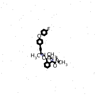 CO/N=C(/C(=O)N(C)I)c1ccccc1CO/N=C(\C)C#Cc1ccc(Oc2ccc(F)cc2)cc1